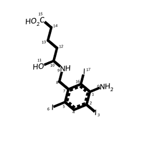 Nc1c(I)cc(I)c(CNC(O)CCCC(=O)O)c1I